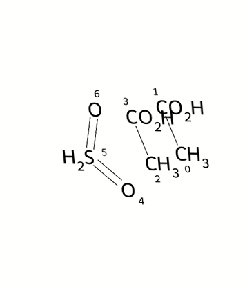 CC(=O)O.CC(=O)O.O=[SH2]=O